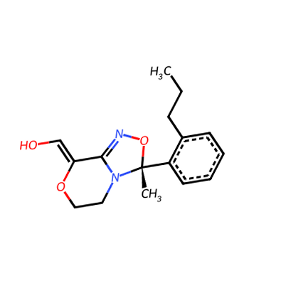 CCCc1ccccc1[C@@]1(C)ON=C2/C(=C/O)OCCN21